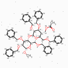 CO[C@H]1O[C@H](COCc2ccccc2)[C@@H](O[C@@H]2O[C@H](COCc3ccccc3)[C@@H](COC(C)=O)[C@H](OCc3ccccc3)[C@H]2OCc2ccccc2)[C@H](OCc2ccccc2)[C@H]1OCc1ccccc1